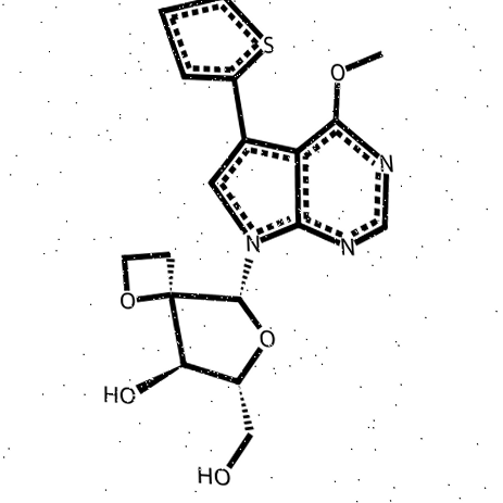 COc1ncnc2c1c(-c1cccs1)cn2[C@@H]1O[C@H](CO)[C@@H](O)[C@]12CCO2